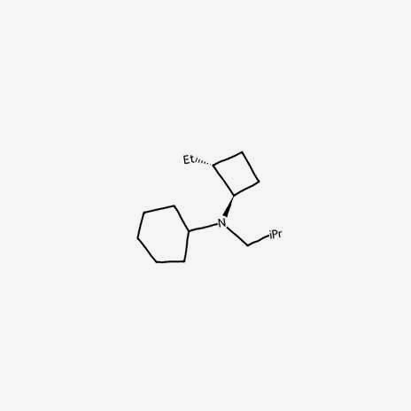 CC[C@@H]1CC[C@H]1N(CC(C)C)C1CCCCC1